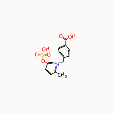 Cc1ccc(OS(=O)(=O)O)c[n+]1Cc1ccc(C(=O)O)cc1